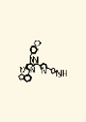 CNC1CC(c2ccc(-c3nn(Cc4ccc(OC)cc4)c4cc(OC)c(-c5cccc6c5CCC6)nc34)cn2)C1